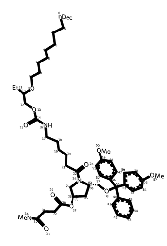 CCCCCCCCCCCCCCCCCCOC(CC)COC(=O)NCCCCCC(=O)N1C[C@H](OC(=O)CCC(=O)NC)C[C@H]1COC(c1ccccc1)(c1ccc(OC)cc1)c1ccc(OC)cc1